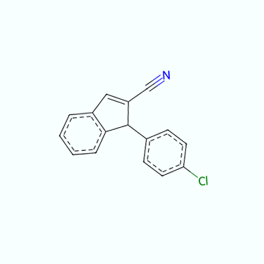 N#CC1=Cc2ccccc2C1c1ccc(Cl)cc1